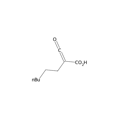 CCCCCCC(=C=O)C(=O)O